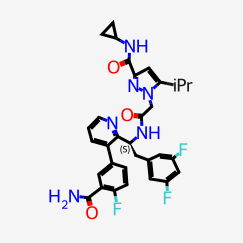 CC(C)c1cc(C(=O)NC2CC2)nn1CC(=O)N[C@@H](Cc1cc(F)cc(F)c1)c1ncccc1-c1ccc(F)c(C(N)=O)c1